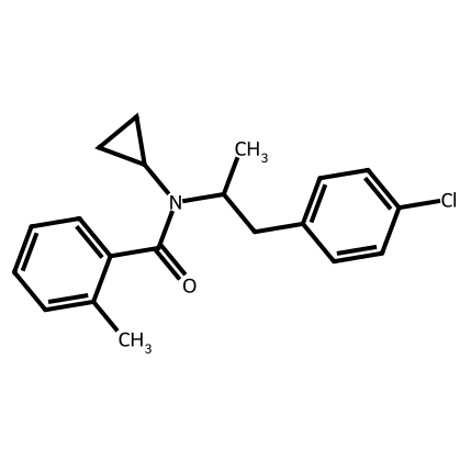 Cc1ccccc1C(=O)N(C(C)Cc1ccc(Cl)cc1)C1CC1